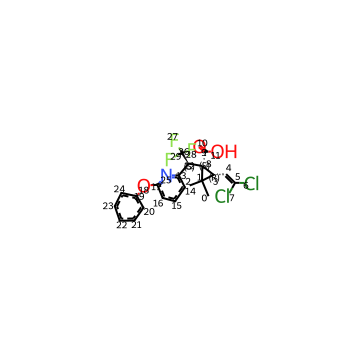 CC1(C)[C@@H](C=C(Cl)Cl)[C@]1(C(=O)O)[C@@H](c1cccc(Oc2ccccc2)n1)C(F)(F)F